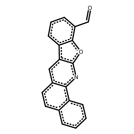 O=Cc1cccc2c1oc1nc3c(ccc4ccccc43)cc12